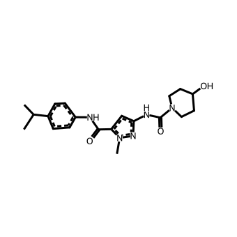 CC(C)c1ccc(NC(=O)c2cc(NC(=O)N3CCC(O)CC3)nn2C)cc1